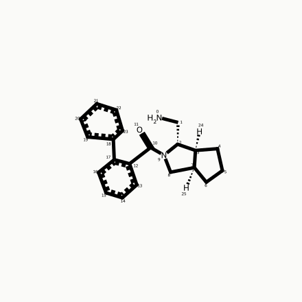 NC[C@@H]1[C@H]2CCC[C@H]2CN1C(=O)c1ccccc1-c1ccccc1